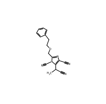 CC(C#N)c1c(C#N)nc(COCCc2ccccc2)n1C#N